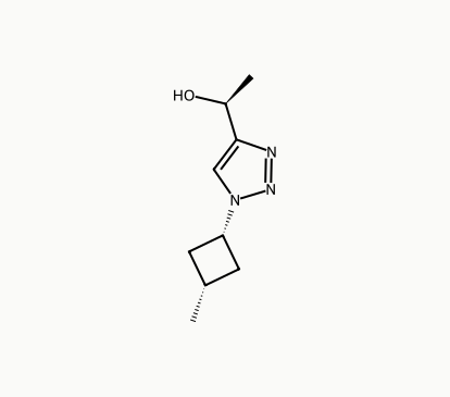 C[C@H](O)c1cn([C@H]2C[C@@H](C)C2)nn1